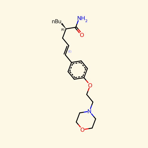 CCCC[C@H](C/C=C/c1ccc(OCCN2CCOCC2)cc1)C(N)=O